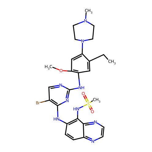 CCc1cc(Nc2ncc(Br)c(Nc3ccc4nccnc4c3NS(C)(=O)=O)n2)c(OC)cc1N1CCN(C)CC1